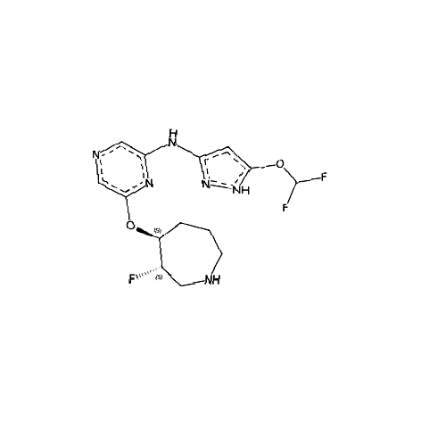 FC(F)Oc1cc(Nc2cncc(O[C@H]3CCCNC[C@@H]3F)n2)n[nH]1